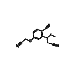 CSC(CC#N)c1cc(OCC#N)ccc1C#N